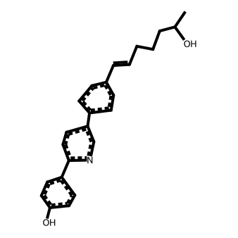 CC(O)CCC/C=C/c1ccc(-c2ccc(-c3ccc(O)cc3)nc2)cc1